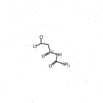 NC(=O)N[N+](=O)CC(Cl)Cl